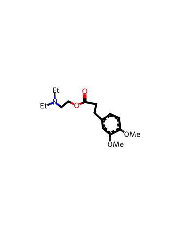 CCN(CC)CCOC(=O)CCc1ccc(OC)c(OC)c1